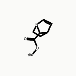 CC(C)(C)OC(=O)C1C2C=CN1CC2